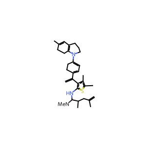 C=C(C)CC(C)C(NC)Nc1sc(C)c(C)c1C(=C)C1=CC=C(N2CCCC3=C2CCC(C)=C3)CC1